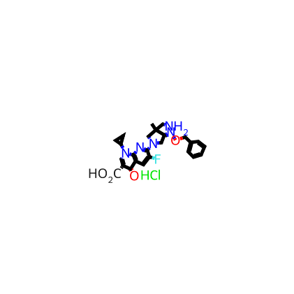 CC1(CN)CN(c2nc3c(cc2F)c(=O)c(C(=O)O)cn3C2CC2)CC1=NOCc1ccccc1.Cl